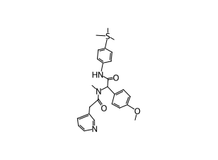 COc1ccc(C(C(=O)Nc2ccc(S(C)(C)C)cc2)N(C)C(=O)Cc2cccnc2)cc1